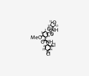 COc1ccc(S(=O)(=O)N[C@H]2CCOC2)cc1C(=O)Nc1ccc(Cl)cc1Cl